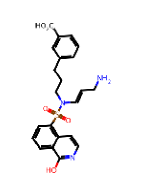 NCC=CN(CCCc1cccc(C(=O)O)c1)S(=O)(=O)c1cccc2c(O)nccc12